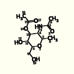 CC(=O)NC1C(C)OC(CO)C(O)C1OC(C)=O